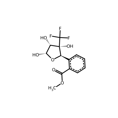 COC(=O)c1ccccc1[C@H]1O[C@H](O)[C@H](O)[C@@]1(O)C(F)(F)F